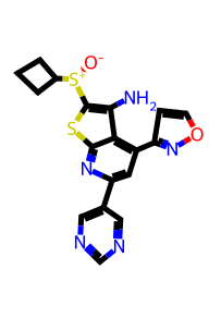 Nc1c([S@+]([O-])C2CCC2)sc2nc(-c3cncnc3)cc(-c3ccon3)c12